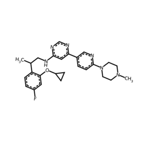 CC(CNc1cc(-c2ccc(N3CCN(C)CC3)nc2)ncn1)c1ccc(F)cc1OC1CC1